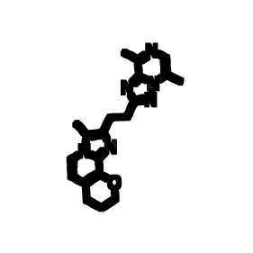 Cc1ncc(C)n2nc(CCc3nc4c5c(ccn4c3C)CCCO5)nc12